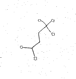 ClC(Cl)CCC(Cl)(Cl)Cl